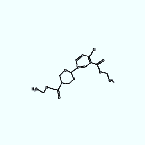 CCOC(=O)c1cc(C2OCC(C(=O)OCC)CO2)ccc1Cl